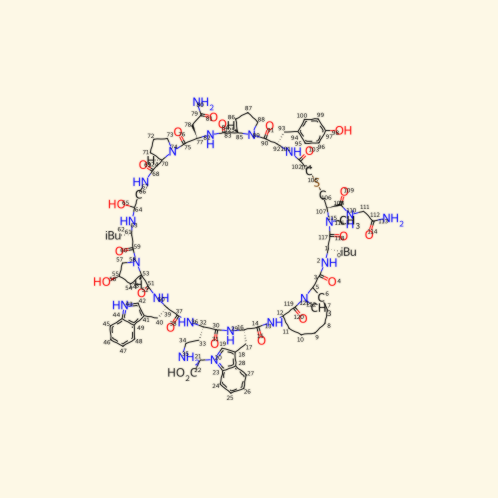 CCC(C)[C@@H]1NC(=O)C2CCCCCCC(NC(=O)[C@H](Cc3cn(CC(=O)O)c4ccccc34)NC(=O)[C@H](CCN)NC(=O)[C@H](Cc3c[nH]c4ccccc34)NC(=O)[C@@H]3C[C@@H](O)CN3C(=O)[C@H](C(C)CC)NC(O)CNC(=O)[C@H]3CCCN3C(=O)[C@@H](CC(N)=O)NC(=O)[C@@H]3CCCN3C(=O)[C@H](Cc3ccc(O)cc3)NC(=O)CSC[C@@H](C(=O)NCC(N)=O)N(C)C1=O)C(=O)N2C